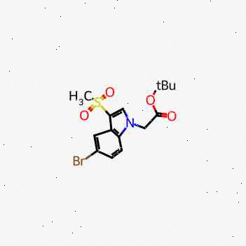 CC(C)(C)OC(=O)Cn1cc(S(C)(=O)=O)c2cc(Br)ccc21